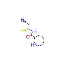 N#CCC(S)NC(=O)C1CCCCCNC1